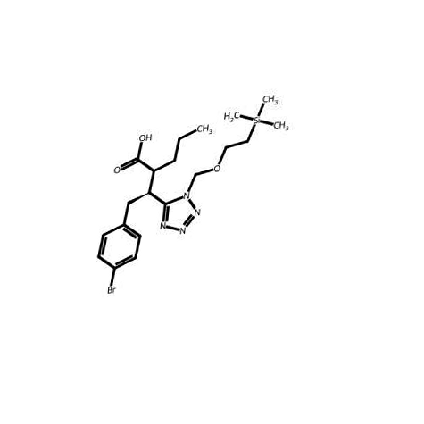 CCCC(C(=O)O)[C@H](Cc1ccc(Br)cc1)c1nnnn1COCC[Si](C)(C)C